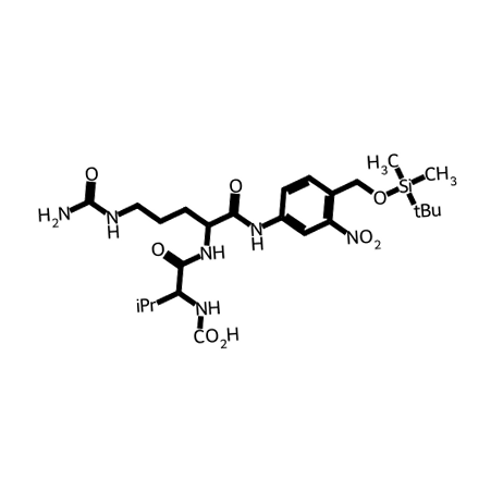 CC(C)C(NC(=O)O)C(=O)NC(CCCNC(N)=O)C(=O)Nc1ccc(CO[Si](C)(C)C(C)(C)C)c([N+](=O)[O-])c1